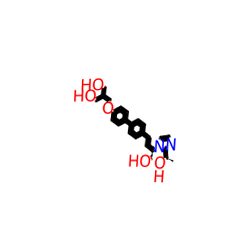 C[C@H](O)c1nccn1[C@@H](/C=C/c1ccc(-c2ccc(OCC(CO)CO)cc2)cc1)CO